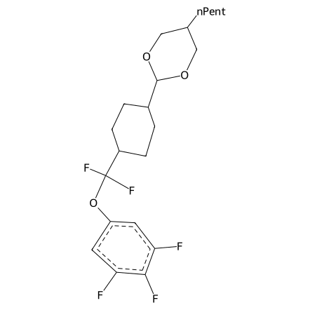 CCCCCC1COC(C2CCC(C(F)(F)Oc3cc(F)c(F)c(F)c3)CC2)OC1